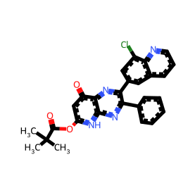 CC(C)(C)C(=O)Oc1cc(=O)c2nc(-c3cc(Cl)c4ncccc4c3)c(-c3ccccc3)nc2[nH]1